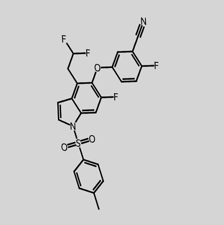 Cc1ccc(S(=O)(=O)n2ccc3c(CC(F)F)c(Oc4ccc(F)c(C#N)c4)c(F)cc32)cc1